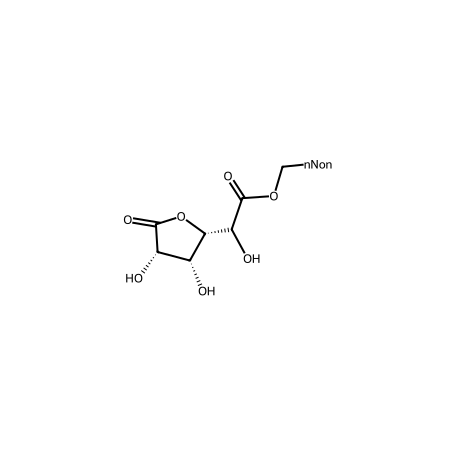 CCCCCCCCCCOC(=O)C(O)[C@H]1OC(=O)[C@@H](O)[C@H]1O